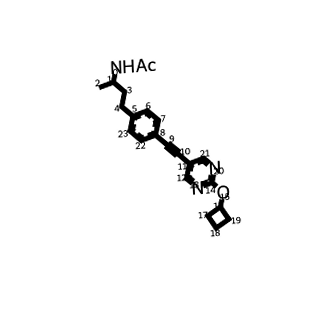 CC(=O)NC(C)CCc1ccc(C#Cc2cnc(OC3CCC3)nc2)cc1